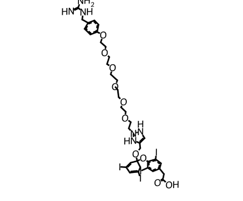 N=C(N)NCc1ccc(OCCOCCOCCOCCOCCOCCN2NC=C(COC3(Oc4c(I)cc(CC(=O)O)cc4I)C=C(I)C=C(I)C3)N2)cc1